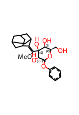 COC(=C1C2CC3CC(C2)CC1C3)[C@@]1(O)[C@@H](O)[C@H](Oc2ccccc2)O[C@H](CO)[C@@H]1O